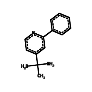 BC(B)(C)c1ccnc(-c2ccccc2)c1